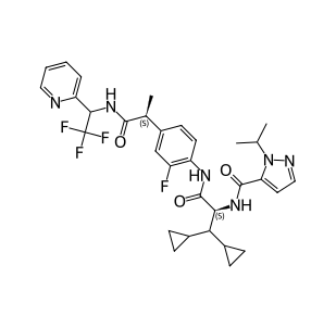 CC(C)n1nccc1C(=O)N[C@H](C(=O)Nc1ccc([C@H](C)C(=O)NC(c2ccccn2)C(F)(F)F)cc1F)C(C1CC1)C1CC1